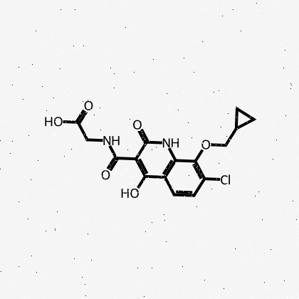 O=C(O)CNC(=O)c1c(O)c2ccc(Cl)c(OCC3CC3)c2[nH]c1=O